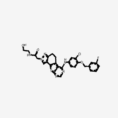 O=C(Cn1cc2c(n1)CCc1c-2sc2ncnc(Nc3ccc(OCc4cccc(F)c4)c(Cl)c3)c12)NCCO